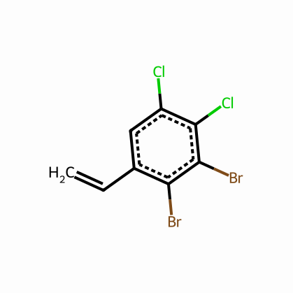 C=Cc1cc(Cl)c(Cl)c(Br)c1Br